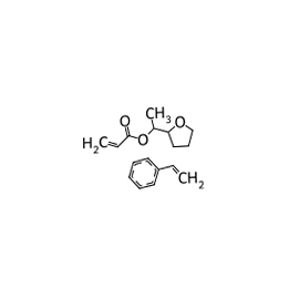 C=CC(=O)OC(C)C1CCCO1.C=Cc1ccccc1